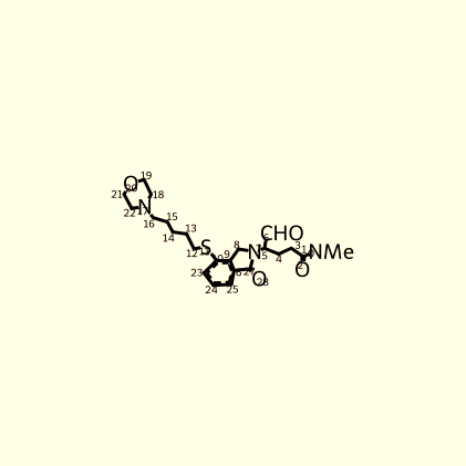 CNC(=O)CCC(C=O)N1Cc2c(SCCCCCN3CCOCC3)cccc2C1=O